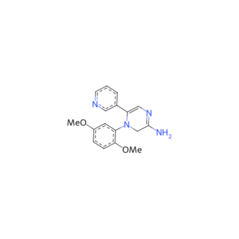 COc1ccc(OC)c(N2CC(N)=NC=C2c2cccnc2)c1